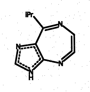 CC(C)C1=NC=C=Nc2[nH]cnc21